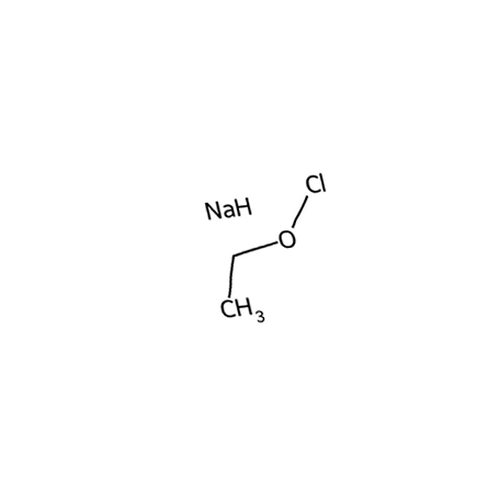 CCOCl.[NaH]